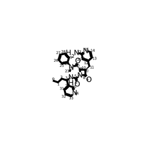 CCCC(NC(=O)N1C(=O)[C@H](Cc2ccnc(N)c2)[C@H]1C(=O)N(C)c1ccccc1)c1cccnc1